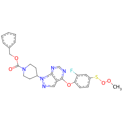 COOSc1ccc(Oc2ncnc3c2cnn3C2CCN(C(=O)OCc3ccccc3)CC2)c(F)c1